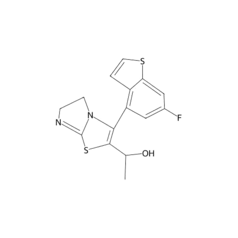 CC(O)C1=C(c2cc(F)cc3sccc23)N2CCN=C2S1